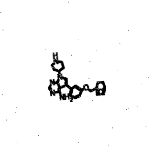 Nc1ncnc2c1c(-c1cccc(OCC34CCC(CC3)O4)c1)cn2C1CCNCC1